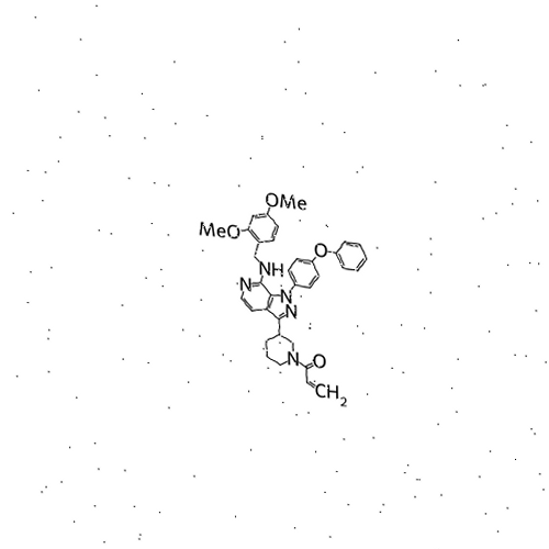 C=CC(=O)N1CCCC(c2nn(-c3ccc(Oc4ccccc4)cc3)c3c(NCc4ccc(OC)cc4OC)nccc23)C1